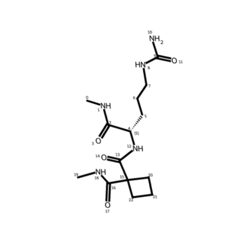 CNC(=O)[C@H](CCCNC(N)=O)NC(=O)C1(C(=O)NC)CCC1